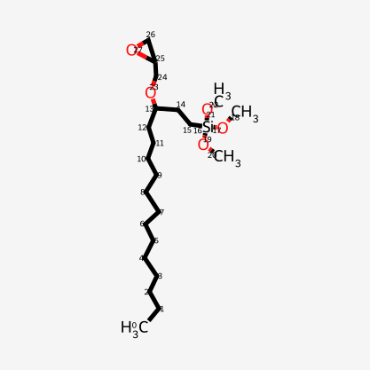 CCCCCCCCCCCCCC(CC[Si](OC)(OC)OC)OCC1CO1